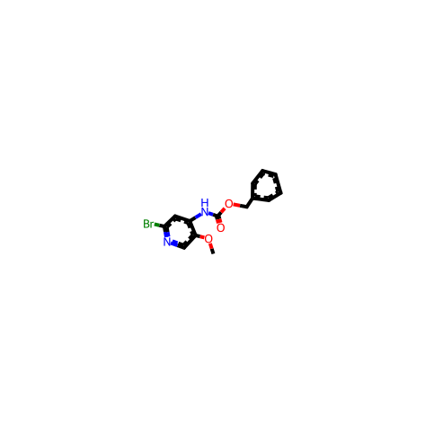 COc1cnc(Br)cc1NC(=O)OCc1ccccc1